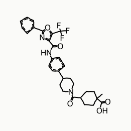 CC1(C(=O)O)CCC(C(=O)N2CCC(c3ccc(NC(=O)c4nc(-c5ccccc5)oc4C(F)(F)F)cc3)CC2)CC1